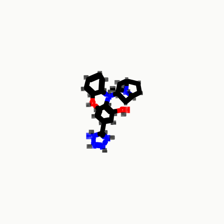 CN1C2CCC1CC(N1c3ccccc3Oc3cc(-c4nnn[nH]4)cc(O)c31)C2